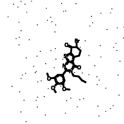 CCCCn1c(-c2cc(OC)c(OC)c(OC)c2)nc2sc3c(c2c1=O)CCC(Br)C3=O